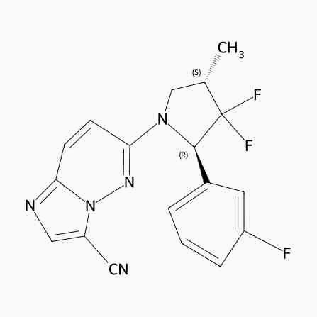 C[C@H]1CN(c2ccc3ncc(C#N)n3n2)[C@H](c2cccc(F)c2)C1(F)F